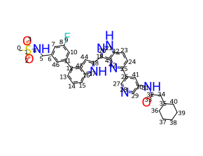 CS(=O)(=O)NCc1cc(F)cc(-c2cccc3[nH]c(-c4n[nH]c5ccc(-c6cncc(NC(=O)CC7CCCCC7)c6)nc45)cc23)c1